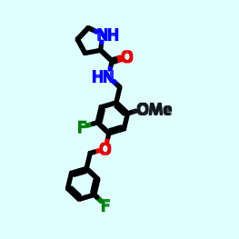 COc1cc(OCc2cccc(F)c2)c(F)cc1CNC(=O)C1CCCN1